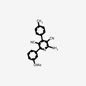 COc1cccc(-c2nc(N)c(C#N)c(-c3ccc(C)cc3)c2C#N)c1